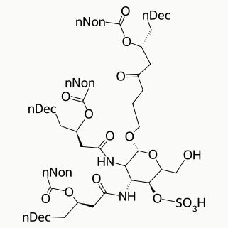 CCCCCCCCCCC[C@H](CC(=O)CCCO[C@@H]1OC(CO)[C@@H](OS(=O)(=O)O)[C@H](NC(=O)C[C@@H](CCCCCCCCCCC)OC(=O)CCCCCCCCC)C1NC(=O)C[C@@H](CCCCCCCCCCC)OC(=O)CCCCCCCCC)OC(=O)CCCCCCCCC